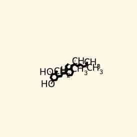 C=C1/C(=C\C=C2/CCC[C@]3(C)[C@@H]([C@H](C)/C=C/CC(C)C)CC[C@@H]23)C[C@@H](O)C[C@@H]1O